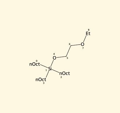 CCCCCCCC[Si](CCCCCCCC)(CCCCCCCC)OCCOCC